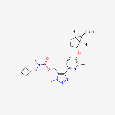 Cc1nc(-c2nnn(C)c2COC(=O)N(C)CC2CCC2)ccc1O[C@@H]1CC[C@H]2[C@@H](C(=O)O)[C@H]21